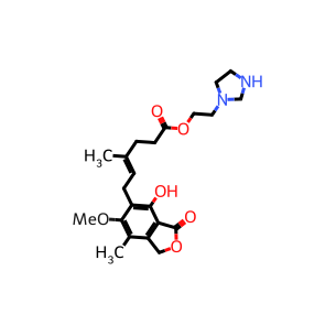 COc1c(C)c2c(c(O)c1C/C=C(\C)CCC(=O)OCCN1CCNC1)C(=O)OC2